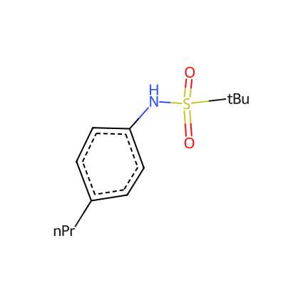 CCCc1ccc(NS(=O)(=O)C(C)(C)C)cc1